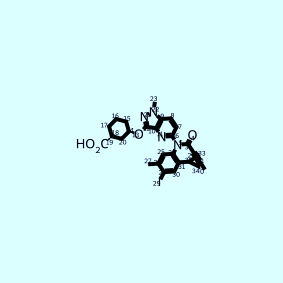 CC#CC(=O)N(c1ccc2c(n1)c(O[C@@H]1CCC[C@@H](C(=O)O)C1)nn2C)c1cc(C)c(I)cc1C1CC1